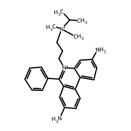 CC(C)[N+](C)(C)CCC[n+]1c(-c2ccccc2)c2cc(N)ccc2c2ccc(N)cc21